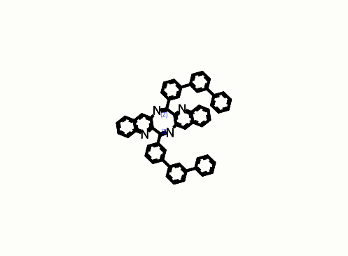 c1ccc(-c2cccc(-c3cccc(/C4=N/c5cc6ccccc6nc5/C(c5cccc(-c6cccc(-c7ccccc7)c6)c5)=N\c5cc6ccccc6nc54)c3)c2)cc1